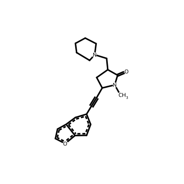 CN1C(=O)C(CN2CCCCC2)CC1C#Cc1ccc2occc2c1